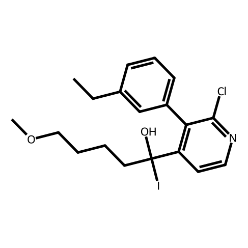 CCc1cccc(-c2c(C(O)(I)CCCCOC)ccnc2Cl)c1